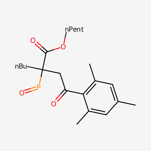 CCCCCOC(=O)C(CCCC)(CC(=O)c1c(C)cc(C)cc1C)P=O